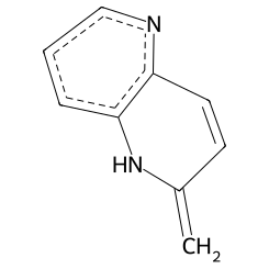 C=C1C=Cc2ncccc2N1